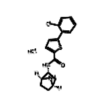 Cl.O=C(N[C@@H]1C[C@H]2CC[C@@H]1N2)c1ccc(-c2ccccc2Cl)s1